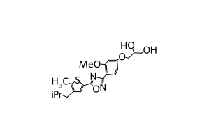 COc1cc(OCC(O)CO)ccc1-c1noc(-c2cc(CC(C)C)c(C)s2)n1